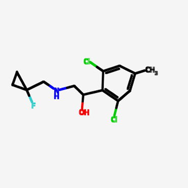 Cc1cc(Cl)c(C(O)CNCC2(F)CC2)c(Cl)c1